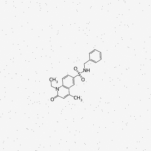 CCn1c(=O)cc(C)c2cc(S(=O)(=O)NCc3ccccc3)ccc21